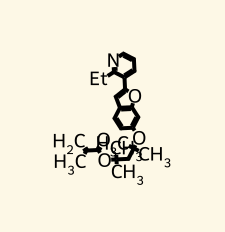 C=C(C)C(=O)OC(C)(C)CC(C)(C)Oc1ccc2cc(-c3cccnc3CC)oc2c1